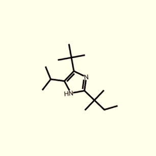 CCC(C)(C)c1nc(C(C)(C)C)c(C(C)C)[nH]1